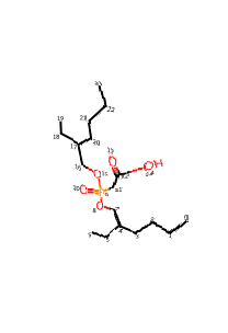 CCCCC(CC)COP(=O)(CC(=O)O)OCC(CC)CCCC